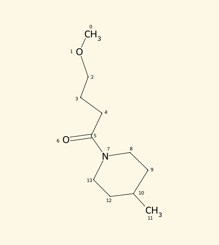 COCCCC(=O)N1CCC(C)CC1